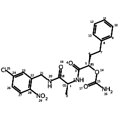 C[C@H](NC(=O)[C@@H](CCc1ccccc1)OC(N)=O)C(=O)NCc1cc(Cl)ccc1[N+](=O)[O-]